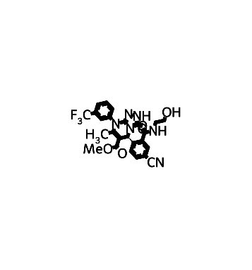 COC(=O)C1=C(C)N(c2cccc(C(F)(F)F)c2)c2n[nH]c(=O)n2[C@@H]1c1ccc(C#N)cc1C(=O)NCCO